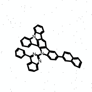 c1ccc(-c2nc(-n3c4ccc(-c5ccc6ccccc6c5)cc4c4cc5c6ccccc6n6c7ccccc7c(c43)c56)nc3ccccc23)cc1